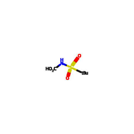 CC(C)(C)S(=O)(=O)NC(=O)O